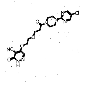 N#Cc1c(OCCOCCC(=O)N2CCN(c3ncc(Cl)cn3)CC2)cn[nH]c1=O